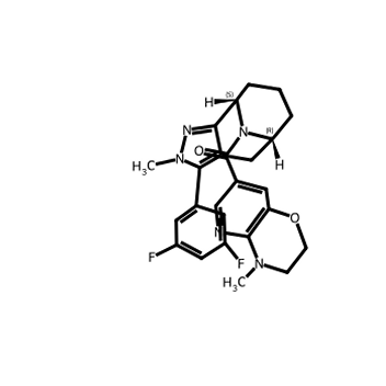 CN1CCOc2cc(C(=O)N3[C@@H]4CCC[C@H]3c3nn(C)c(-c5cc(F)cc(F)c5)c3C4)cnc21